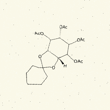 CC(=O)OC1C(OC(C)=O)[C@@H]2OC3(CCCCC3)OC2C(OC(C)=O)[C@@H]1OC(C)=O